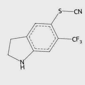 N#CSc1cc2c(cc1C(F)(F)F)NCC2